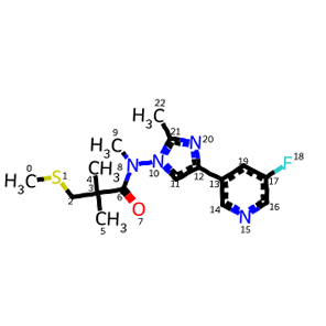 CSCC(C)(C)C(=O)N(C)n1cc(-c2cncc(F)c2)nc1C